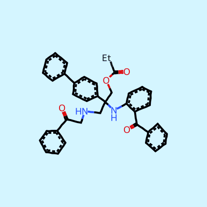 CCC(=O)OCC(CNCC(=O)c1ccccc1)(Nc1ccccc1C(=O)c1ccccc1)c1ccc(-c2ccccc2)cc1